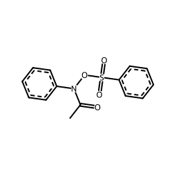 CC(=O)N(OS(=O)(=O)c1ccccc1)c1ccccc1